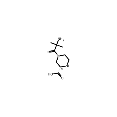 CC(C)(N)C(=O)N1CCN[C@H](C(=O)O)C1